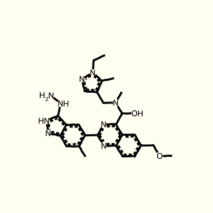 CCn1ncc(CN(C)C(O)c2nc(-c3cc4c(NN)[nH]nc4cc3C)nc3ccc(COC)cc23)c1C